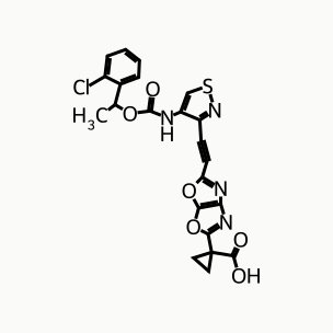 CC(OC(=O)Nc1csnc1C#Cc1nc2nc(C3(C(=O)O)CC3)oc2o1)c1ccccc1Cl